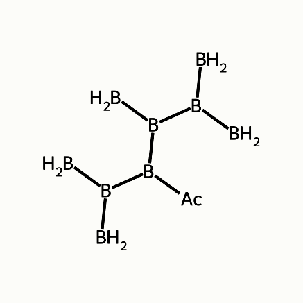 BB(B)B(B)B(B(B)B)C(C)=O